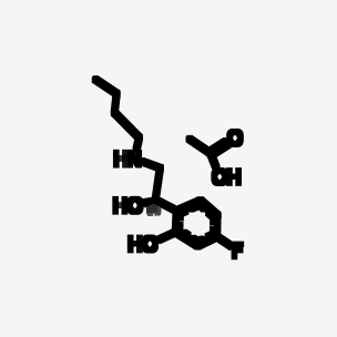 CC(=O)O.CCCCNC[C@H](O)c1ccc(F)cc1O